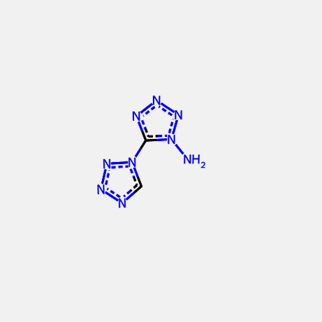 Nn1nnnc1-n1cnnn1